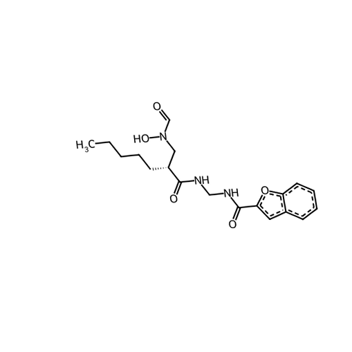 CCCCC[C@H](CN(O)C=O)C(=O)NCNC(=O)c1cc2ccccc2o1